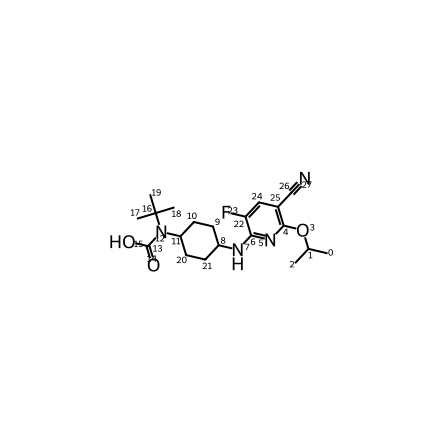 CC(C)Oc1nc(NC2CCC(N(C(=O)O)C(C)(C)C)CC2)c(F)cc1C#N